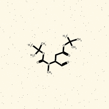 CN(C(=O)OC(C)(C)C)C(C=O)CC(=O)OC(C)(C)C